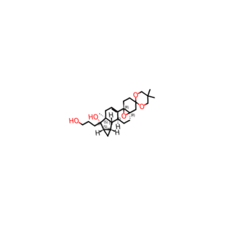 CC1(C)COC2(CC[C@]34O[C@]3(CC[C@@H]3C4=CC[C@@]4(C)[C@H]3[C@@H]3C[C@@H]3[C@@]4(O)CCCO)C2)OC1